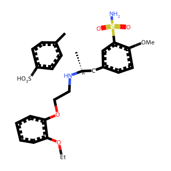 CCOc1ccccc1OCCN[C@H](C)Cc1ccc(OC)c(S(N)(=O)=O)c1.Cc1ccc(S(=O)(=O)O)cc1